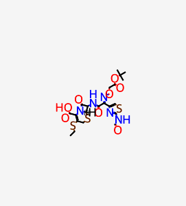 CCSC1=C(C(=O)O)N2C(=O)C(NC(=O)C(=NOCC(=O)OC(C)(C)C)c3csc(NC=O)n3)[C@@H]2SC1